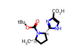 C[C@H]1CC[C@@H](c2nc(C(=O)O)c[nH]2)N1C(=O)OC(C)(C)C